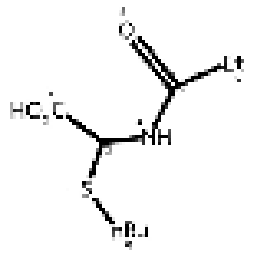 CCCCSC(NC(=O)CC)C(=O)O